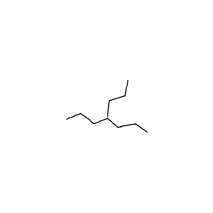 CCC[C](CCC)CCC